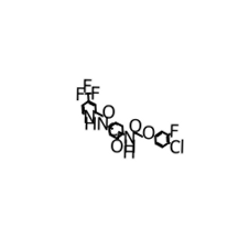 O=C(COc1ccc(Cl)c(F)c1)NC12CCC(NC(=O)c3cc(C(F)(F)F)ccn3)(CC1)CC2O